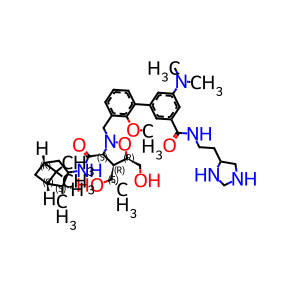 COc1c(CN2O[C@@H](CO)[C@@H]([C@H](C)O)[C@H]2C(=O)NC2C[C@H]3C[C@@H]([C@@H]2C)C3(C)C)cccc1-c1cc(C(=O)NCCC2CNCN2)cc(N(C)C)c1